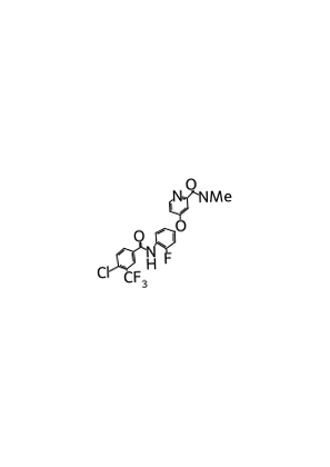 CNC(=O)c1cc(Oc2ccc(NC(=O)c3ccc(Cl)c(C(F)(F)F)c3)c(F)c2)ccn1